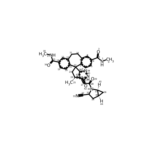 CNC(=O)c1ccc2c(c1)CCc1cc(C(=O)NC)ccc1C2(C[C@@H](C)NCC(=O)N1C(C#N)C[C@@H]2C[C@@H]21)c1n[nH]c(=O)[nH]1